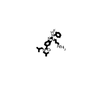 CC(C)CN(CC(C)C)C(=O)c1ccc2nc(Nc3ccccc3F)n(CCCN)c2c1